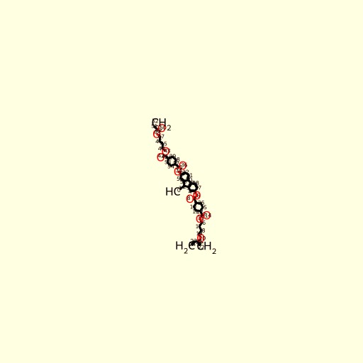 C#CC1c2cc(OC(=O)C3CCC(C(=O)OCCCCOC(=C)C=C)CC3)ccc2-c2ccc(OC(=O)C3CCC(C(=O)OCCCCOC(=O)C=C)CC3)cc21